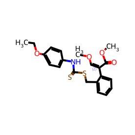 CCOc1ccc(NC(=S)SCc2ccccc2/C(=C/OC)C(=O)OC)cc1